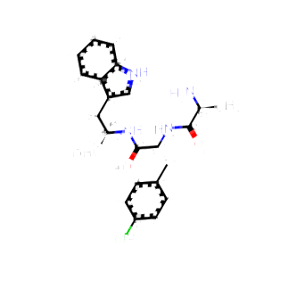 C[C@H](N)C(=O)N[C@H](Cc1ccc(Cl)cc1)C(=O)N[C@@H]([C]=O)Cc1c[nH]c2ccccc12